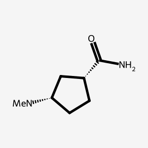 CN[C@H]1CC[C@@H](C(N)=O)C1